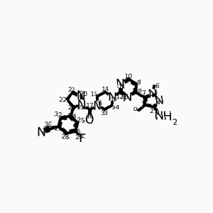 Cc1c(N)nn(C)c1-c1ccnc(N2CCN(C(=O)N3N=CCC3c3cc(F)cc(C#N)c3)CC2)n1